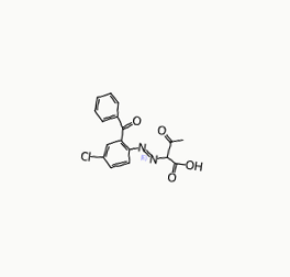 CC(=O)C(/N=N/c1ccc(Cl)cc1C(=O)c1ccccc1)C(=O)O